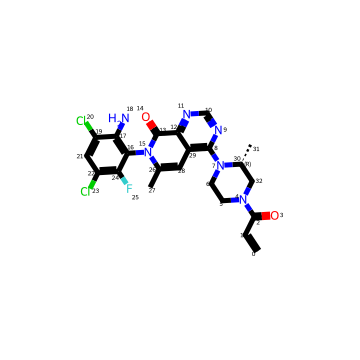 C=CC(=O)N1CCN(c2ncnc3c(=O)n(-c4c(N)c(Cl)cc(Cl)c4F)c(C)cc23)[C@H](C)C1